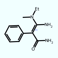 CCN(C)/C(N)=C(/C(N)=O)c1ccccc1